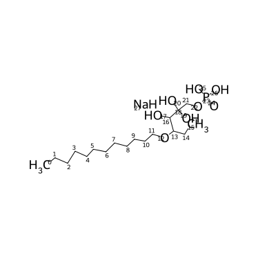 CCCCCCCCCCCCOC(CC)C(O)C(O)(O)COP(=O)(O)O.[NaH]